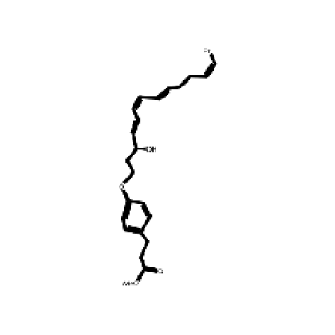 CC/C=C\CC/C=C/C=C\C=C\[C@@H](O)CCOc1ccc(CCC(=O)OC)cc1